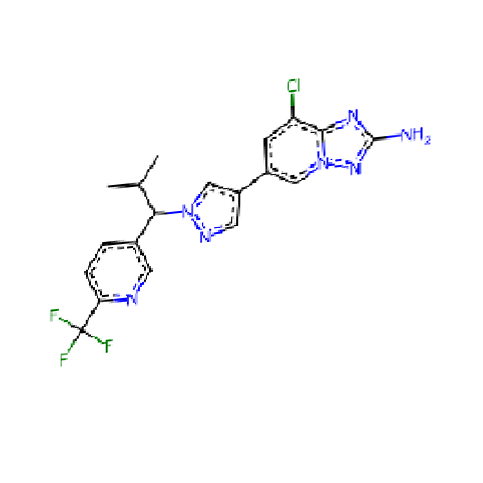 CC(C)C(c1ccc(C(F)(F)F)nc1)n1cc(-c2cc(Cl)c3nc(N)nn3c2)cn1